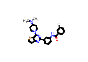 CN(C)C1CCN(c2nc(-c3cccc(NC(=O)c4cccc(C(F)(F)F)c4)c3)nc3ccsc23)CC1